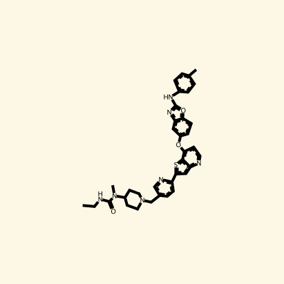 CCNC(=O)N(C)C1CCN(Cc2ccc(-c3cc4nccc(Oc5ccc6oc(Nc7ccc(C)cc7)nc6c5)c4s3)nc2)CC1